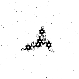 Cc1ccc([N+](=O)[O-])cc1/N=N/c1c(O)c(C(=O)Nc2ccc(Cl)cc2)cc2cc(C(=O)Nc3ccc(Cl)cc3)ccc12